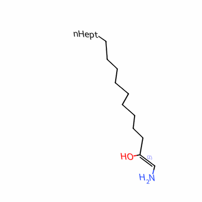 CCCCCCCCCCCCCCCC/C(O)=C/N